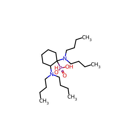 CCCCN(CCCC)C1CCCCC1(N(CCCC)CCCC)P(=O)(O)O